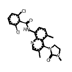 Cc1cnc2c(NC(=O)c3c(Cl)cccc3Cl)ccc(C)c2c1N1CCN(C)C1=O